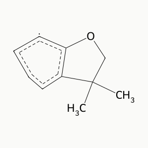 CC1(C)COc2[c]cccc21